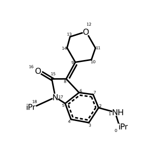 CC(C)Nc1ccc2c(c1)C(=C1CCOCC1)C(=O)N2C(C)C